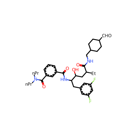 CCCN(CCC)C(=O)c1cccc(C(=O)NC(Cc2cc(F)cc(F)c2)C(O)CC(CC)C(=O)NCC2CCC(C=O)CC2)c1